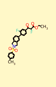 CCOC(=O)C(F)C(=O)c1ccc(-c2ccc3c(c2)CN(S(=O)(=O)c2ccc(C)cc2)C3)c(F)c1